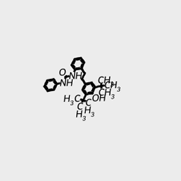 CC(C)(C)c1cc(CCc2ccccc2NC(=O)Nc2ccccc2)cc(C(C)(C)C)c1O